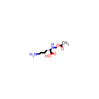 CC(=O)OCN[C@@H](CCCCN)C(=O)O